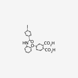 O=C(Nc1ccccc1Oc1ccc(C(=O)O)c(C(=O)O)c1)c1ccc(I)cc1